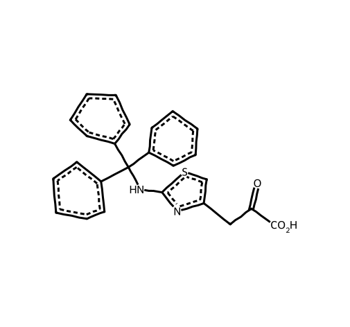 O=C(O)C(=O)Cc1csc(NC(c2ccccc2)(c2ccccc2)c2ccccc2)n1